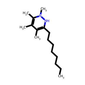 CCCCCCCCC1=C(C)C(C)=C(C)N(C)N1